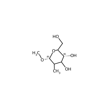 CO[C@@H]1OC(CO)[C@H](O)C(O)C1C